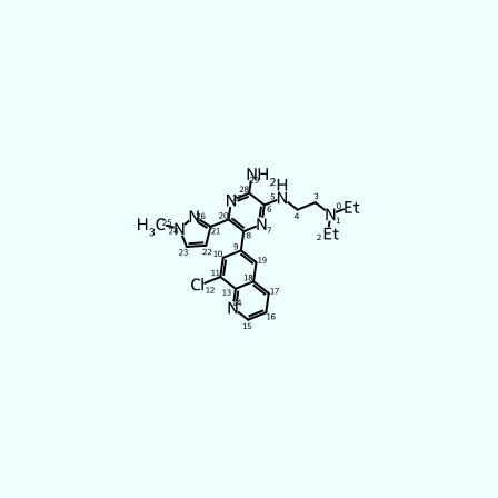 CCN(CC)CCNc1nc(-c2cc(Cl)c3ncccc3c2)c(-c2ccn(C)n2)nc1N